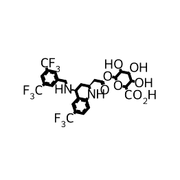 O=C(C[C@@H]1C[C@H](NCc2cc(C(F)(F)F)cc(C(F)(F)F)c2)c2cc(C(F)(F)F)ccc2N1)OC1OC(C(=O)O)C(O)C(O)C1O